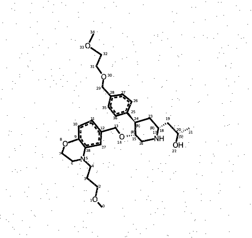 COCCCN1CCOc2ccc(CO[C@H]3CN[C@@H](C[C@H](C)O)C[C@@H]3c3ccc(COCCOC)cc3)cc21